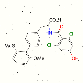 COc1cccc(OC)c1-c1ccc(CC(NC(=O)c2c(Cl)cc(O)cc2Cl)C(=O)O)cc1